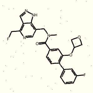 CN(Cc1cnc(CF)c2cn[nH]c12)C(=O)c1ccc(-c2cccc(F)c2)c(OC2COC2)c1